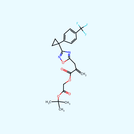 C=C(Cc1nc(C2(c3ccc(C(F)(F)F)cc3)CC2)no1)C(=O)OCC(=O)OC(C)(C)C